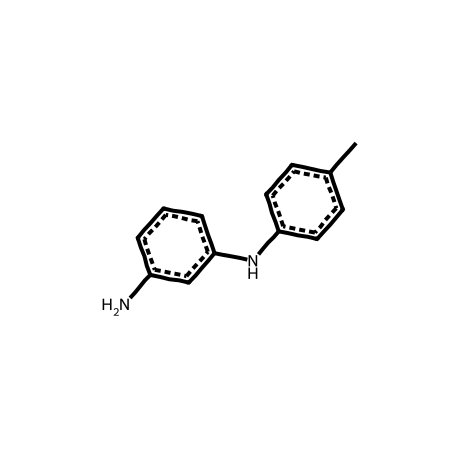 Cc1ccc(Nc2cccc(N)c2)cc1